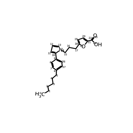 CCCCCCc1ccc(-c2cccn2CCCc2ccc(C(=O)O)o2)cc1